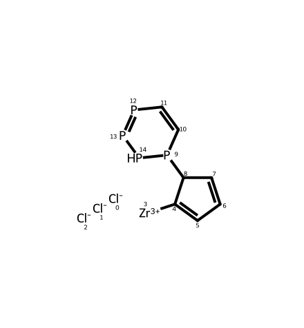 [Cl-].[Cl-].[Cl-].[Zr+3][C]1=CC=CC1P1C=CP=PP1